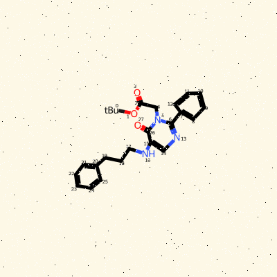 CC(C)(C)OC(=O)Cn1c(-c2ccccc2)ncc(NCCCc2ccccc2)c1=O